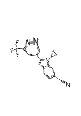 N#Cc1ccc2cc(-c3cnnc(C(F)(F)F)c3)n(C3CC3)c2c1